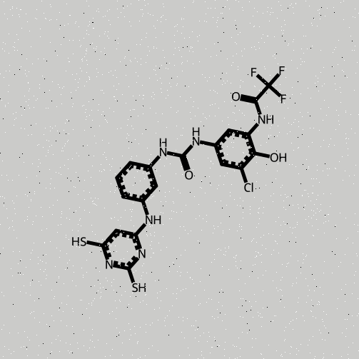 O=C(Nc1cccc(Nc2cc(S)nc(S)n2)c1)Nc1cc(Cl)c(O)c(NC(=O)C(F)(F)F)c1